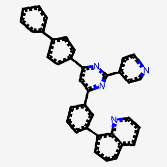 c1ccc(-c2ccc(-c3cc(-c4cccc(-c5cccc6cccnc56)c4)nc(-c4ccncc4)n3)cc2)cc1